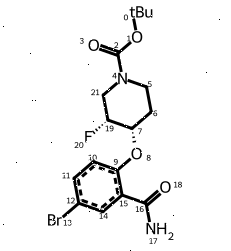 CC(C)(C)OC(=O)N1CC[C@H](Oc2ccc(Br)cc2C(N)=O)[C@H](F)C1